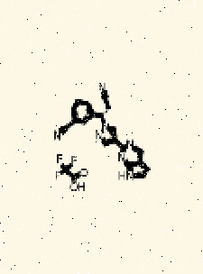 N#CC[C@@H](c1cccc(C#N)c1)n1cc(-c2ncc3cc[nH]c3n2)cn1.O=C(O)C(F)(F)F